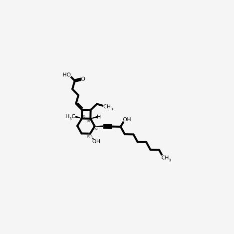 CCCCCCCC(O)C#C[C@H]1[C@H](O)CC[C@]2(C)C(=CCCC(=O)O)C(CC)[C@H]12